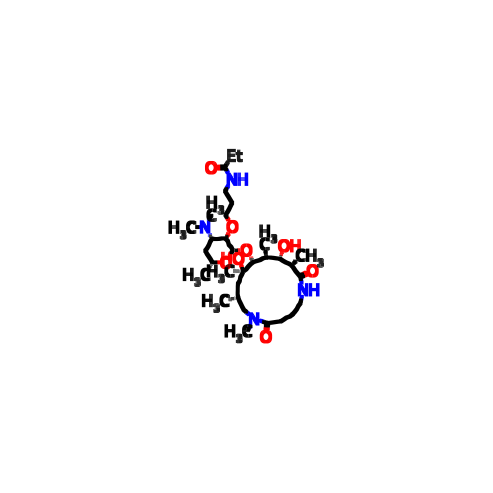 CCC(=O)NCCCO[C@H]1[C@H](O[C@@H]2[C@@H](C)[C@H](O)[C@@H](C)C(=O)NCCCC(=O)N(C)C[C@H](C)C[C@@]2(C)O)O[C@H](C)C[C@@H]1N(C)C